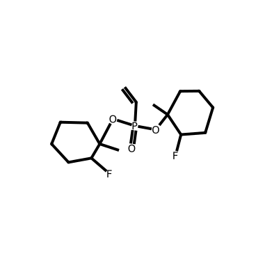 C=CP(=O)(OC1(C)CCCCC1F)OC1(C)CCCCC1F